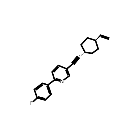 C=C[C@H]1CC[C@H](C#Cc2ccc(-c3ccc(F)cc3)nc2)CC1